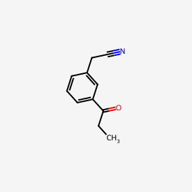 CCC(=O)c1cccc(CC#N)c1